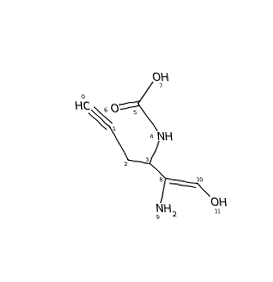 C#CCC(NC(=O)O)/C(N)=C/O